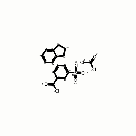 O=C(Cl)Cl.O=C(Cl)c1cccc(S(=O)(=O)Cl)c1.c1ccc2c(c1)CCC2